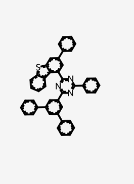 c1ccc(-c2cc(-c3ccccc3)cc(-c3nc(-c4ccccc4)nc(-c4cc(-c5ccccc5)cc5sc6ccccc6c45)n3)c2)cc1